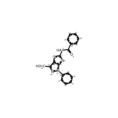 O=C([AsH]c1nc2c(s1)c(C(=O)O)nn2-c1ccccc1)c1ccccc1